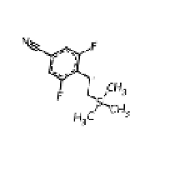 C[Si](C)(C)C[CH]c1c(F)cc(C#N)cc1F